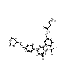 CCCC(=O)NCc1ccc(C(F)(F)F)c(-c2nc(-c3ccc(OCC4CCOCC4)nc3)cc(=O)[nH]2)c1